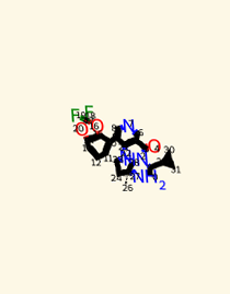 CC(NC(=O)c1cncc(-c2cccc3c2OC(F)(F)O3)c1N1CC[C@](C)(N)C1)C1CC1